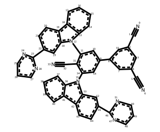 N#Cc1cc(C#N)cc(-c2cc(-n3c4ccccc4c4ccc(-c5ncccn5)cc43)c(C#N)c(-n3c4ccccc4c4ccc(-c5ncccn5)cc43)c2)c1